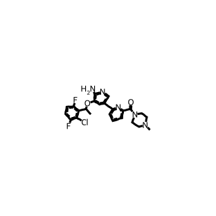 CC(Oc1cc(-c2cccc(C(=O)N3CCN(C)CC3)n2)cnc1N)c1c(F)ccc(F)c1Cl